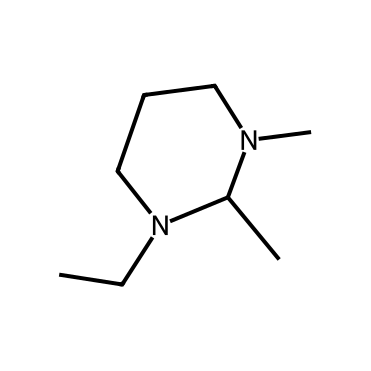 CCN1CCCN(C)C1C